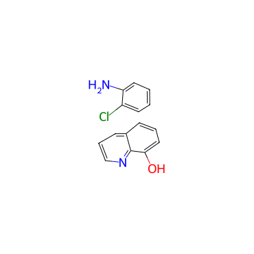 Nc1ccccc1Cl.Oc1cccc2cccnc12